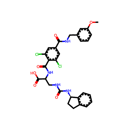 COc1cccc(CNC(=O)c2cc(Cl)c(C(=O)NC(CNC(=O)N[C@@H]3CCc4ccccc43)C(=O)O)c(Cl)c2)c1